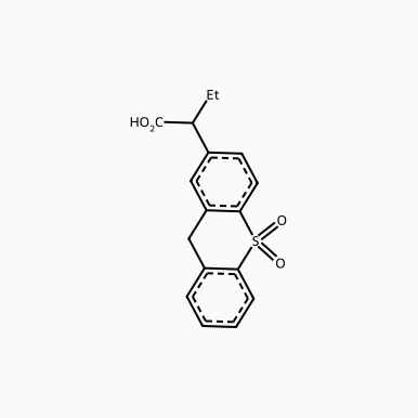 CCC(C(=O)O)c1ccc2c(c1)Cc1ccccc1S2(=O)=O